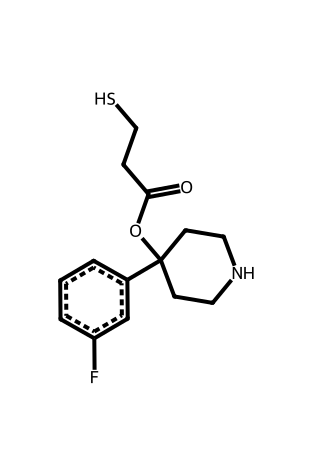 O=C(CCS)OC1(c2cccc(F)c2)CCNCC1